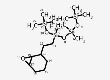 C[Si](C)(C)O[Si](C)(C)O[Si](C)(CCC1CCCC2OC12)O[Si](C)(C)C